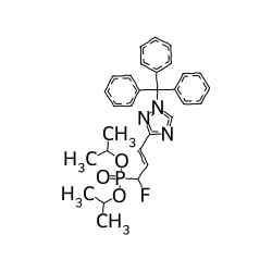 CC(C)OP(=O)(OC(C)C)C(F)/C=C/c1ncn(C(c2ccccc2)(c2ccccc2)c2ccccc2)n1